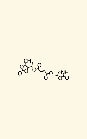 Cc1oc(=O)oc1COC(=O)C=CC(=O)OCC1CNC(=O)O1